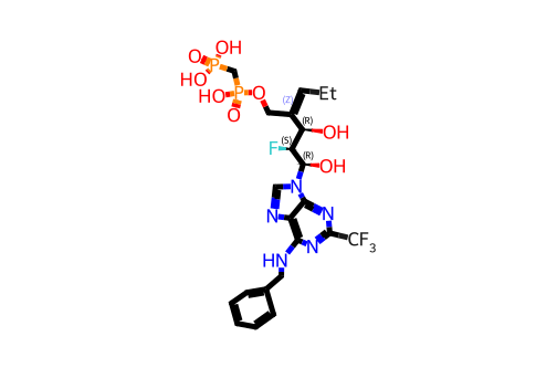 CC/C=C(/COP(=O)(O)CP(=O)(O)O)[C@@H](O)[C@H](F)[C@@H](O)n1cnc2c(NCc3ccccc3)nc(C(F)(F)F)nc21